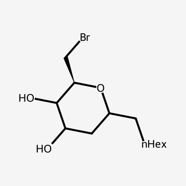 CCCCCCCC1CC(O)C(O)[C@@H](CBr)O1